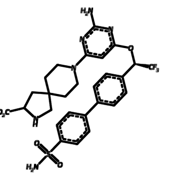 Nc1nc(O[C@H](c2ccc(-c3ccc(S(N)(=O)=O)cc3)cc2)C(F)(F)F)cc(N2CCC3(CC2)CNC(C(=O)O)C3)n1